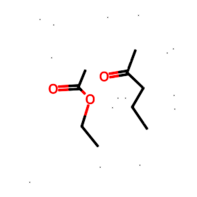 CCCC(C)=O.CCOC(C)=O